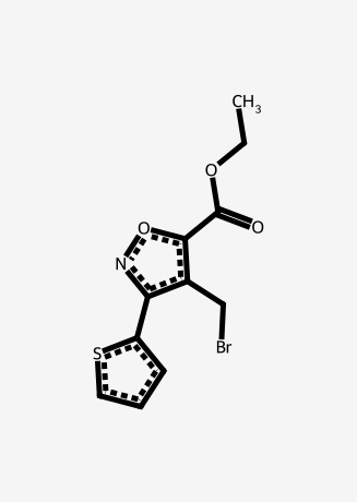 CCOC(=O)c1onc(-c2cccs2)c1CBr